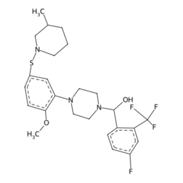 COc1ccc(SN2CCCC(C)C2)cc1N1CCN(C(O)c2ccc(F)cc2C(F)(F)F)CC1